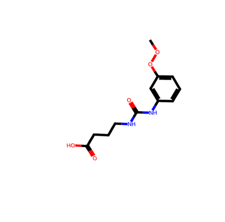 COOc1cccc(NC(=O)NCCCC(=O)O)c1